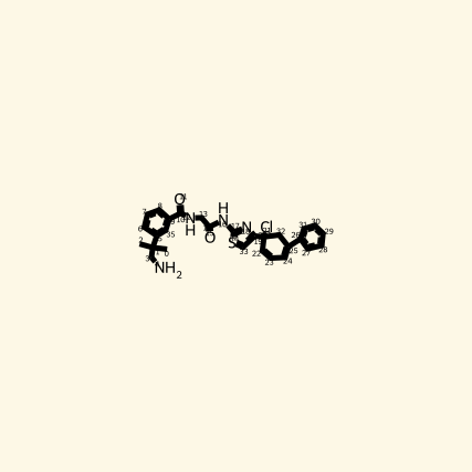 CC(C)(CN)c1cccc(C(=O)NCC(=O)Nc2nc(C3(Cl)C=CC=C(c4ccccc4)C3)cs2)c1